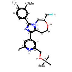 COc1cc(-c2nc(-c3cc(C)nc(CO[Si](C)(C)C(C)(C)C)c3)c3n2C[C@@H](CF)OCC3)ccc1C(F)(F)F